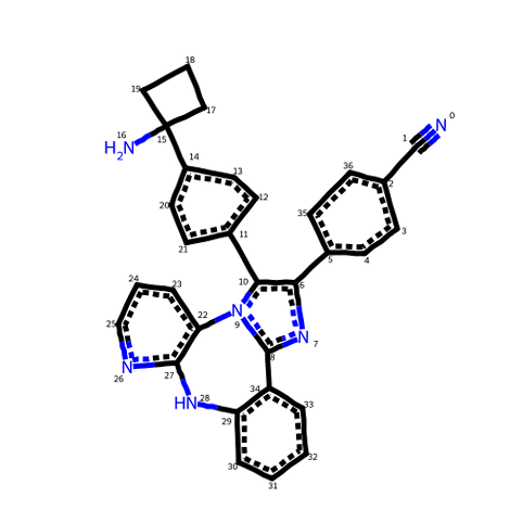 N#Cc1ccc(-c2nc3n(c2-c2ccc(C4(N)CCC4)cc2)-c2cccnc2Nc2ccccc2-3)cc1